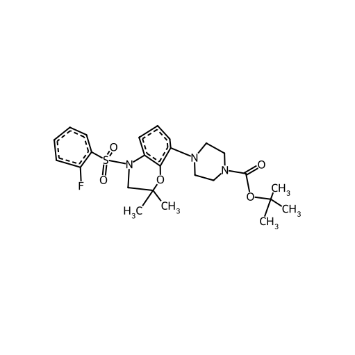 CC(C)(C)OC(=O)N1CCN(c2cccc3c2OC(C)(C)CN3S(=O)(=O)c2ccccc2F)CC1